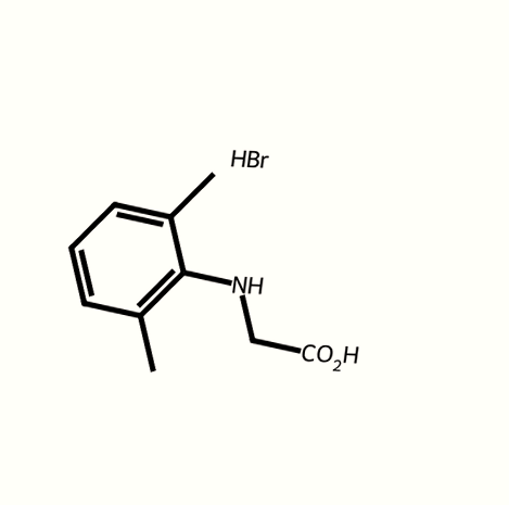 Br.Cc1cccc(C)c1NCC(=O)O